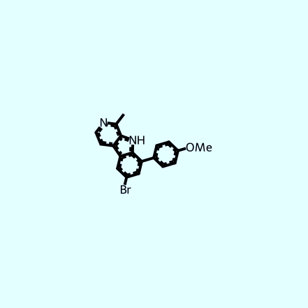 COc1ccc(-c2cc(Br)cc3c2[nH]c2c(C)nccc23)cc1